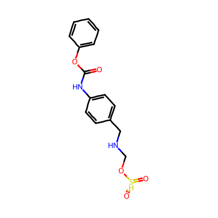 O=C(Nc1ccc(CNCO[SH](=O)=O)cc1)Oc1ccccc1